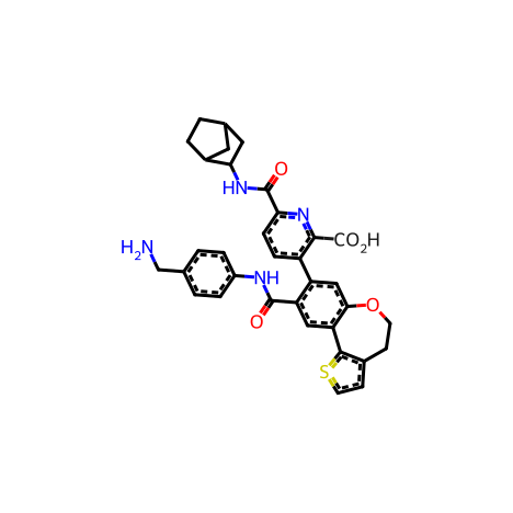 NCc1ccc(NC(=O)c2cc3c(cc2-c2ccc(C(=O)NC4CC5CCC4C5)nc2C(=O)O)OCCc2ccsc2-3)cc1